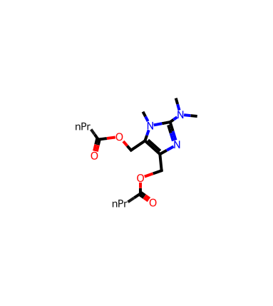 CCCC(=O)OCc1nc(N(C)C)n(C)c1COC(=O)CCC